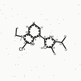 CCn1c(Cl)nc2c(-c3nc(C(C)C)c(C)o3)cccc21